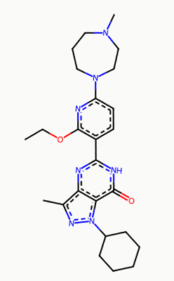 CCOc1nc(N2CCCN(C)CC2)ccc1-c1nc2c(C)nn(C3CCCCC3)c2c(=O)[nH]1